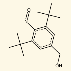 CC(C)(C)c1cc(CO)cc(C(C)(C)C)c1N=O